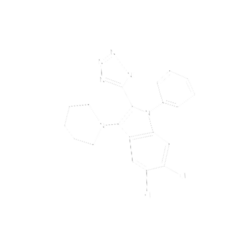 Clc1cc2c(N3CCCCC3)c(-c3nnn[nH]3)n(-c3ccccc3)c2cc1Cl